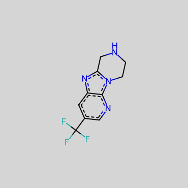 FC(F)(F)c1cnc2c(c1)nc1n2CCNC1